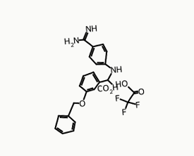 N=C(N)c1ccc(NC(C(=O)O)c2cccc(OCc3ccccc3)c2)cc1.O=C(O)C(F)(F)F